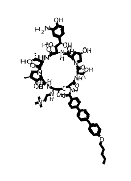 CCCCCOc1ccc(-c2ccc(-c3ccc(C(=O)N[C@H]4C[C@@H](O)[C@@H](NCC[N+](C)(C)C)NC(=O)[C@@H]5[C@@H](O)[C@@H](C)CN5C(=O)[C@H]([C@@H](C)O)NC(=O)[C@H]([C@H](O)[C@@H](O)c5ccc(O)c(N)c5)NC(=O)[C@@H]5C[C@@H](O)CN5C(=O)[C@H]([C@@H](C)O)NC4=O)cc3)cc2)cc1